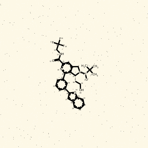 CC(C)(C)[S+]([O-])N1Cc2cc(C(=O)NCC(F)(F)F)nc(-c3cccc(-c4cc5ccccc5o4)c3)c2[C@H]1CCO